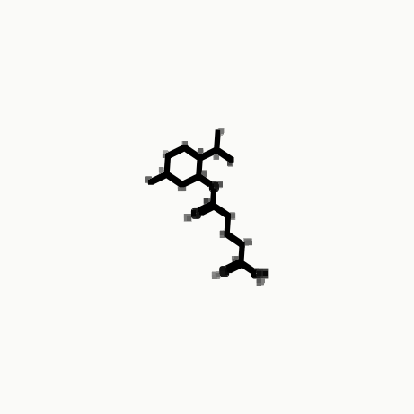 CC1CCC(C(C)C)C(OC(=O)CCCC(=O)O)C1